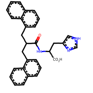 O=C(NC(Cc1c[nH]cn1)C(=O)O)C(Cc1cccc2ccccc12)Cc1cccc2ccccc12